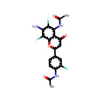 CC(C)(C)C(=O)Nc1ccc(-c2cc(=O)c3c(NC(=O)C(C)(C)C)c(F)c(N)c(F)c3o2)cc1F